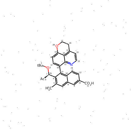 CC(=O)[C@@H](OC(C)(C)C)c1c(C)cc2cc(C(=O)O)ccc2c1-c1ccc2c3c(ccnc13)CCO2